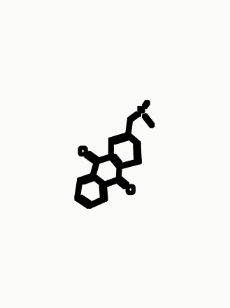 CP(C)Cc1ccc2c(c1)C(=O)c1ccccc1C2=O